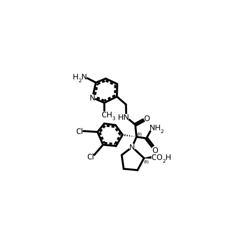 Cc1nc(N)ccc1CNC(=O)[C@](C(N)=O)(c1ccc(Cl)c(Cl)c1)N1CCC[C@@H]1C(=O)O